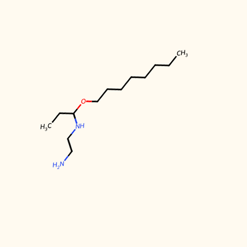 CCCCCCCCOC(CC)NCCN